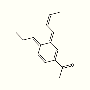 C\C=C/C=c1/cc(C(C)=O)cc/c1=C\CC